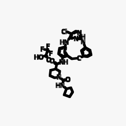 O=C(Nc1ccc2cc1CCc1cccc(c1)Nc1ncc(Cl)c(n1)N2)C1CCCN(C(=O)NC2CCCC2)C1.O=C(O)C(F)(F)F